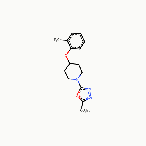 CCOC(=O)c1nnc(N2CCC(Oc3ccccc3C(F)(F)F)CC2)o1